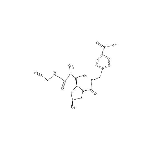 CC(C(=O)NCC#N)C(S)[C@@H]1C[C@H](S)CN1C(=O)OCc1ccc([N+](=O)[O-])cc1